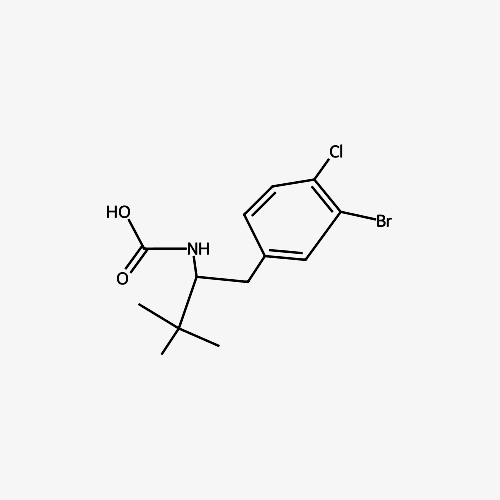 CC(C)(C)C(Cc1ccc(Cl)c(Br)c1)NC(=O)O